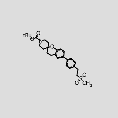 CC(C)(C)OC(=O)N1CCC2(CCc3cc(-c4ccc(CCS(C)(=O)=O)cc4)ccc3O2)CC1